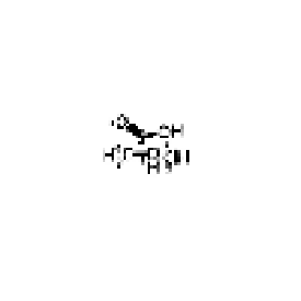 CO.Cl.O=CO